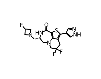 O=C1N[C@@H](CN2CC(F)C2)CN2CC(F)(F)Cc3c(-c4cn[nH]c4)sc1c32